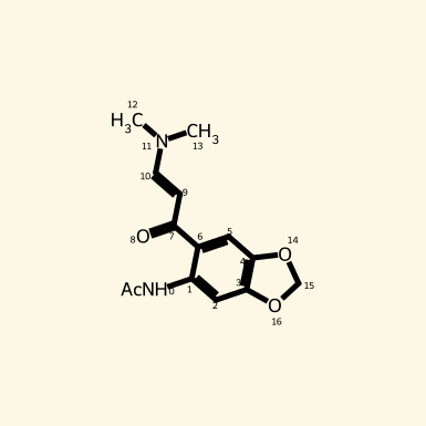 CC(=O)Nc1cc2c(cc1C(=O)C=CN(C)C)OCO2